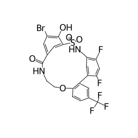 O=C1NCCOc2ccc(C(F)(F)F)cc2-c2cc(c(F)cc2F)NS(=O)(=O)c2cc1cc(Br)c2O